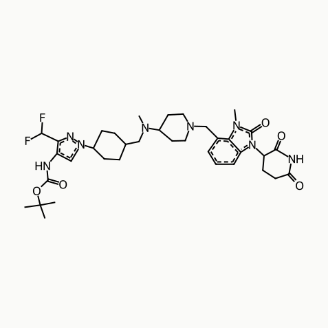 CN(CC1CCC(n2cc(NC(=O)OC(C)(C)C)c(C(F)F)n2)CC1)C1CCN(Cc2cccc3c2n(C)c(=O)n3C2CCC(=O)NC2=O)CC1